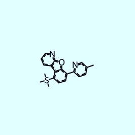 Cc1ccc(-c2ccc(S(C)(C)C)c3c2oc2ncccc23)nc1